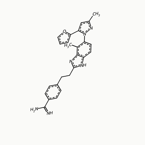 Cc1cc(-c2ccco2)n(-c2ccc3[nH]c(CCc4ccc(C(=N)N)cc4)nc3c2C)n1